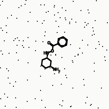 N[C@H]1CCC[C@@H](NOC(=O)c2ccccc2)C1